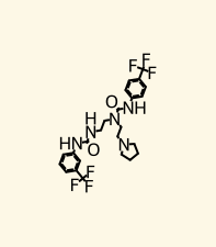 O=C(NCCN(CCN1CCCC1)C(=O)Nc1ccc(C(F)(F)F)cc1)Nc1cccc(C(F)(F)F)c1